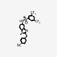 Cn1c(Cc2ccc(C#N)cc2)nc2cc(NS(=O)(=O)c3cc(C(F)(F)F)cc(C(F)(F)F)c3)ccc21